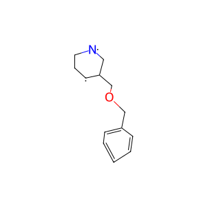 [CH]1CC[N]CC1COCc1ccccc1